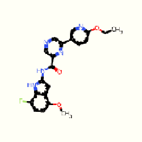 CCOc1ccc(-c2cncc(C(=O)Nc3cc4c(OC)ccc(F)c4[nH]3)n2)cn1